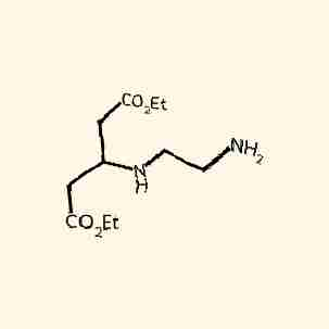 CCOC(=O)CC(CC(=O)OCC)NCCN